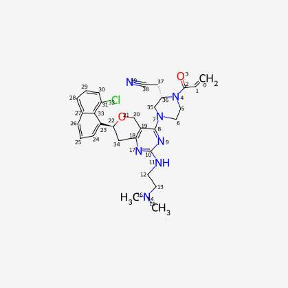 C=CC(=O)N1CCN(c2nc(NCCN(C)C)nc3c2CO[C@H](c2cccc4cccc(Cl)c24)C3)C[C@@H]1CC#N